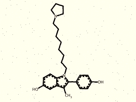 Cc1c(-c2ccc(O)cc2)n(CCCCCCCCN2CCCC2)c2ccc(O)cc12